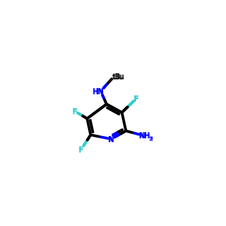 CC(C)(C)Nc1c(F)c(N)nc(F)c1F